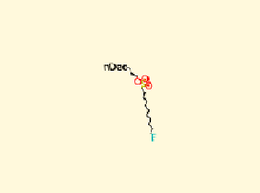 CCCCCCCCCCCCCOS(=O)(=O)CCCCCCCCCCCF